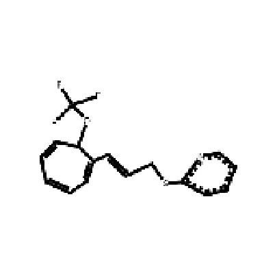 FC(F)(F)OC1C=CC=CC=C1C=CCSc1ccccn1